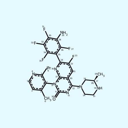 Cc1ccnc(C(C)C)c1-n1c(=O)nc(N2CCN[C@H](C)C2)c2cc(F)c(-c3c(F)c(N)c(F)c(F)c3F)nc21